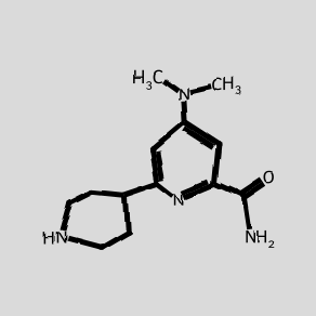 CN(C)c1cc(C(N)=O)nc(C2CCNCC2)c1